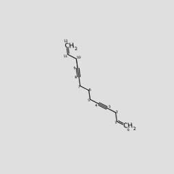 C=CCC#CCCCC#CCC=C